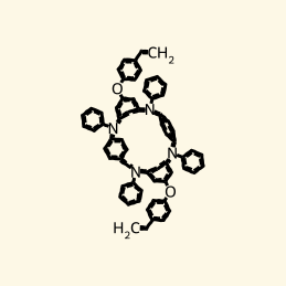 C=Cc1ccc(Oc2cc3cc(c2)n(-c2ccccc2)c2ccc(cc2)n(-c2ccccc2)c2cc(Oc4ccc(C=C)cc4)cc(c2)n(-c2ccccc2)c2ccc(cc2)n3-c2ccccc2)cc1